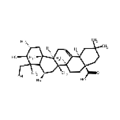 CC1(C)CC[C@]2(C(=O)O)CC[C@]3(C)C(=CC[C@@H]4[C@@]5(C)C[C@@H](O)[C@H](O)C(C)(CO)C5[C@H](O)C[C@]43C)[C@H]2C1